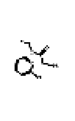 CCOC(=O)CN.Clc1ccccn1